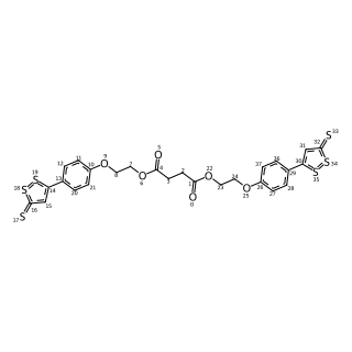 O=C(CCC(=O)OCCOc1ccc(-c2cc(=S)ss2)cc1)OCCOc1ccc(-c2cc(=S)ss2)cc1